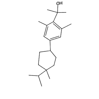 Cc1cc(C2CCC(C)(C(C)C)CC2)cc(C)c1C(C)(C)O